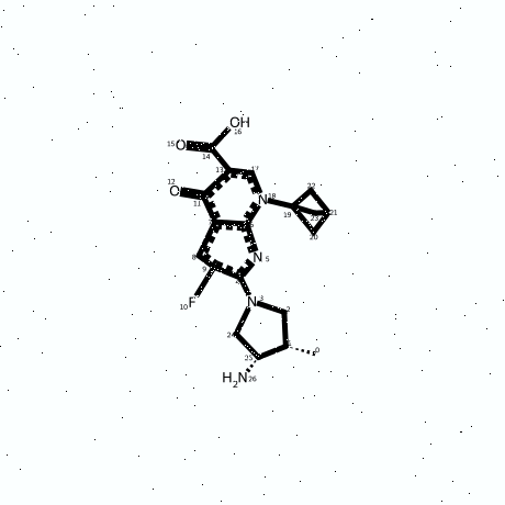 C[C@H]1CN(c2nc3c(cc2F)c(=O)c(C(=O)O)cn3C23CC(C2)C3)C[C@H]1N